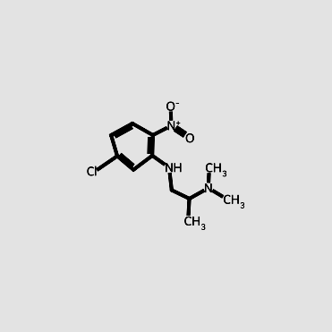 CC(CNc1cc(Cl)ccc1[N+](=O)[O-])N(C)C